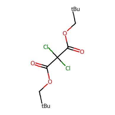 CC(C)(C)COC(=O)C(Cl)(Cl)C(=O)OCC(C)(C)C